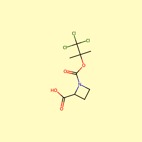 CC(C)(OC(=O)N1CCC1C(=O)O)C(Cl)(Cl)Cl